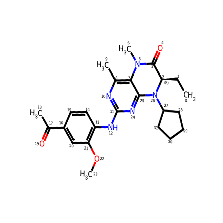 CC[C@@H]1C(=O)N(C)c2c(C)nc(Nc3ccc(C(C)=O)cc3OC)nc2N1C1CCCC1